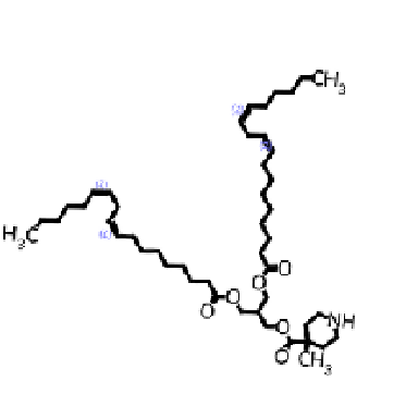 CCCCC/C=C\C/C=C\CCCCCCCC(=O)OCC(COC(=O)CCCCCCC/C=C\C/C=C\CCCCC)COC(=O)C1(C)CCNCC1